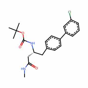 CNC(=O)C[C@@H](Cc1ccc(-c2cccc(Cl)c2)cc1)NC(=O)OC(C)(C)C